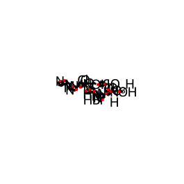 Br.Cc1ccc(S(=O)(=O)O)cc1.O=C(NOCCO)c1ccc(-c2ccc3nnn(Cc4ccc5ncccc5c4)c3n2)cc1Cl.O=C(NOCCO)c1ccc(-c2ccc3nnn(Cc4ccc5ncccc5c4)c3n2)cc1Cl